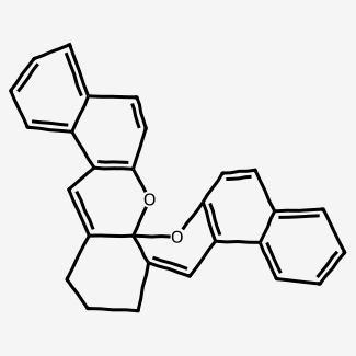 C1=C2CCCC3=Cc4c(ccc5ccccc45)OC23Oc2ccc3ccccc3c21